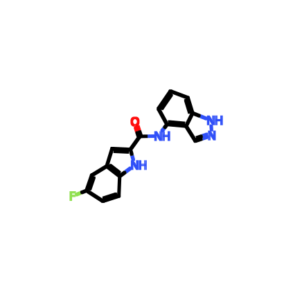 O=C(Nc1cccc2[nH]ncc12)c1cc2cc(F)ccc2[nH]1